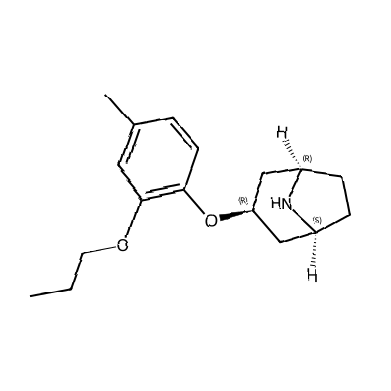 CCCOc1cc(C)ccc1O[C@H]1C[C@H]2CC[C@@H](C1)N2